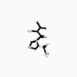 CC(C)C(N)C(=O)N1COC[C@H]1C(=O)O